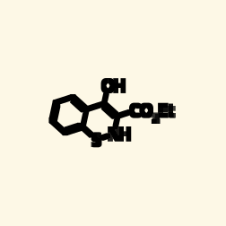 CCOC(=O)C1=C(O)c2ccccc2SN1